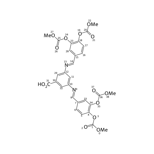 COC(=O)Oc1ccc(C=Nc2cc(N=Cc3ccc(OC(=O)OC)c(OC(=O)OC)c3)cc(C(=O)O)c2)cc1OC(=O)OC